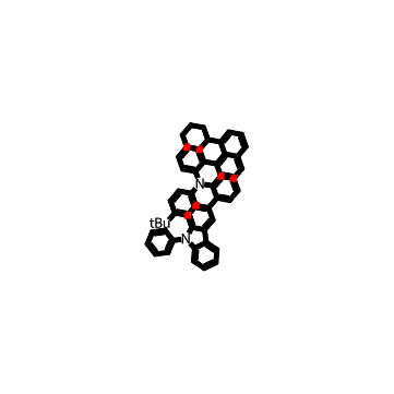 CC(C)(C)c1ccc(N(c2ccccc2-c2ccc3c(c2)c2ccccc2n3-c2ccccc2)c2ccccc2-c2cccc3cccc(C4CCCCC4)c23)cc1